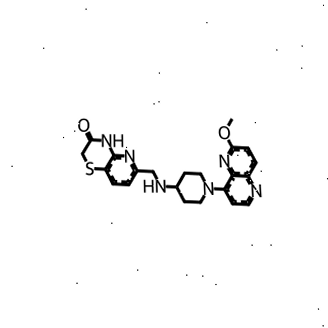 COc1ccc2nccc(N3CCC(NCc4ccc5c(n4)NC(=O)CS5)CC3)c2n1